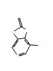 C=C1Nc2cncc(C)c2O1